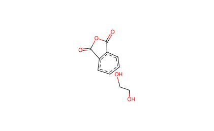 O=C1OC(=O)c2ccccc21.OCCO